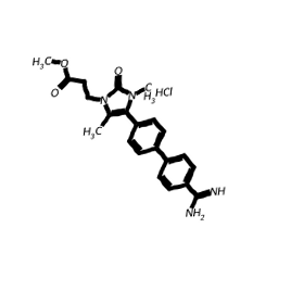 COC(=O)CCn1c(C)c(-c2ccc(-c3ccc(C(=N)N)cc3)cc2)n(C)c1=O.Cl